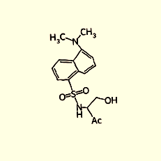 CC(=O)C(CO)NS(=O)(=O)c1cccc2c(N(C)C)cccc12